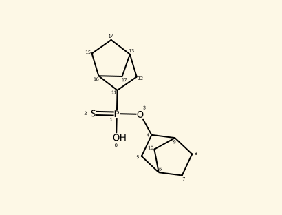 OP(=S)(OC1CC2CCC1C2)C1CC2CCC1C2